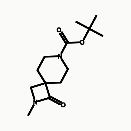 CN1CC2(CCN(C(=O)OC(C)(C)C)CC2)C1=O